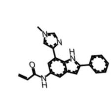 C=CC(=O)Nc1cc(-c2cn(C)cn2)c2[nH]c(-c3ccccc3)cc2c1